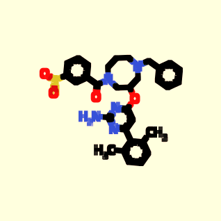 Cc1cccc(C)c1-c1cc(OC2CN(Cc3ccccc3)CCCN(C(=O)c3cccc([SH](=O)=O)c3)C2)nc(N)n1